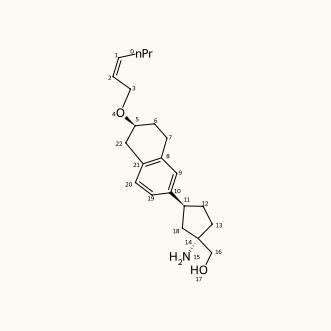 CCC/C=C\CO[C@H]1CCc2cc([C@H]3CC[C@@](N)(CO)C3)ccc2C1